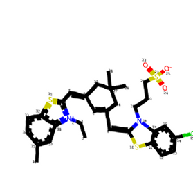 CC[n+]1c(C=C2C=C(C=C3Sc4ccc(Cl)cc4N3CCCS(=O)(=O)[O-])CC(C)(C)C2)sc2ccc(C)cc21